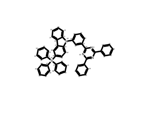 c1ccc(-c2nc(-c3ccccc3)nc(-c3cccc(-n4c5ccccc5c5cc([Si](c6ccccc6)(c6ccccc6)c6ccccc6)ccc54)c3)n2)cc1